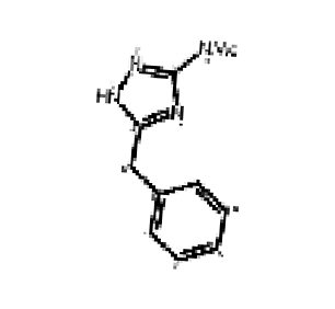 CNc1n[nH]c(Cc2ccccc2)n1